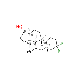 CC(C)C1C[C@H]2CC(F)(F)CC[C@]2(C)[C@H]2CC[C@]3(C)[C@@H](O)CC[C@H]3[C@H]12